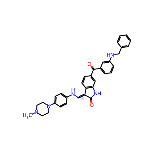 CN1CCN(c2ccc(N/C=C3/C(=O)Nc4cc(C(=O)c5cccc(NCc6ccccc6)c5)ccc43)cc2)CC1